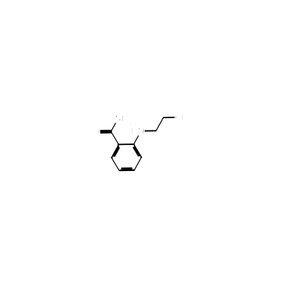 CCCNc1ccccc1C(N)=O